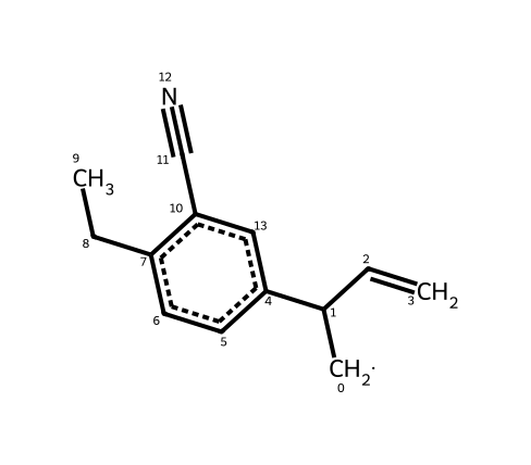 [CH2]C(C=C)c1ccc(CC)c(C#N)c1